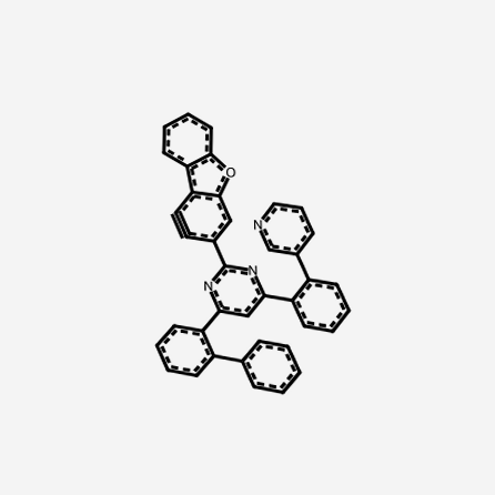 c1c(-c2nc(-c3ccccc3-c3ccccc3)cc(-c3ccccc3-c3cccnc3)n2)cc2oc3ccccc3c2c#1